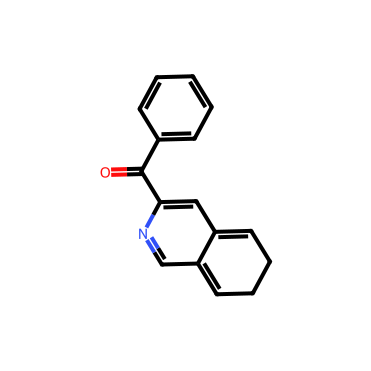 O=C(c1ccccc1)c1cc2c(cn1)=CCCC=2